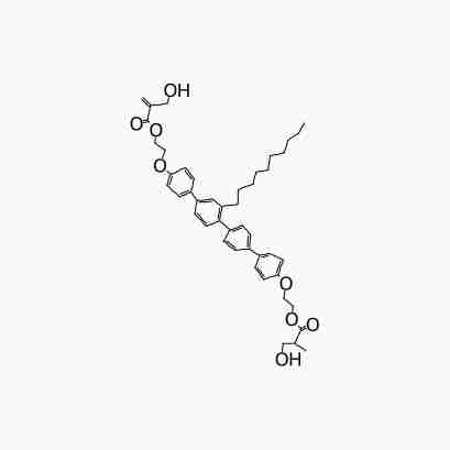 C=C(CO)C(=O)OCCOc1ccc(-c2ccc(-c3ccc(-c4ccc(OCCOC(=O)C(C)CO)cc4)cc3)c(CCCCCCCCCC)c2)cc1